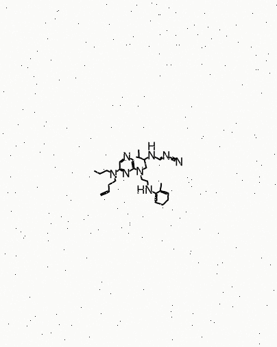 C=CCCN(CCC)c1cncc(N(CCNC2=CCCC=C2C)CC(NC=NC#N)C(C)C)n1